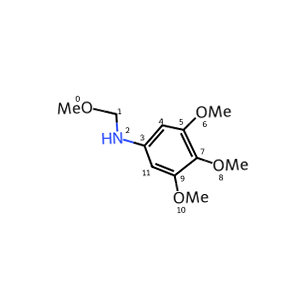 COCNc1cc(OC)c(OC)c(OC)c1